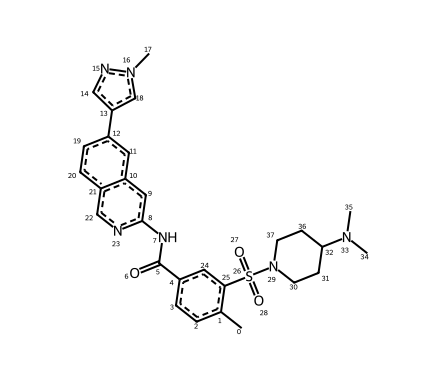 Cc1ccc(C(=O)Nc2cc3cc(-c4cnn(C)c4)ccc3cn2)cc1S(=O)(=O)N1CCC(N(C)C)CC1